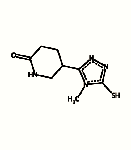 Cn1c(S)nnc1C1CCC(=O)NC1